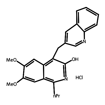 CCCc1nc(O)c(Cc2cnc3ccccc3c2)c2cc(OC)c(OC)cc12.Cl